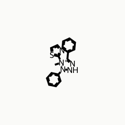 C[N+]1(c2nccs2)C(c2ccccc2)=NNN1c1ccccc1